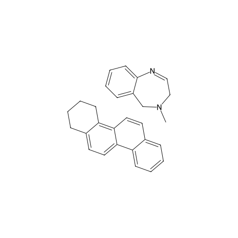 CN1CC=Nc2ccccc2C1.c1ccc2c(c1)ccc1c3c(ccc12)CCCC3